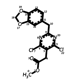 COC(=O)Cc1c(Cl)nc(Cc2ccc3c(c2)OCO3)nc1Cl